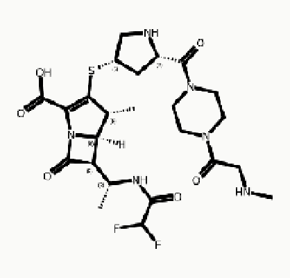 CNCC(=O)N1CCN(C(=O)[C@@H]2C[C@H](SC3=C(C(=O)O)N4C(=O)[C@H]([C@@H](C)NC(=O)C(F)F)[C@@H]4[C@H]3C)CN2)CC1